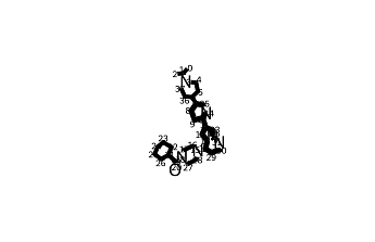 CC(C)N1CCC(c2ccc(-c3cc4c(N5CCN(C(=O)C6CCCCC6)CC5)ccnn4c3)nc2)CC1